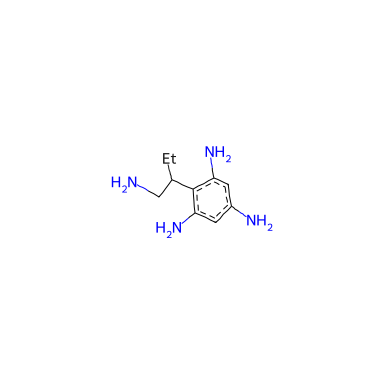 CCC(CN)c1c(N)cc(N)cc1N